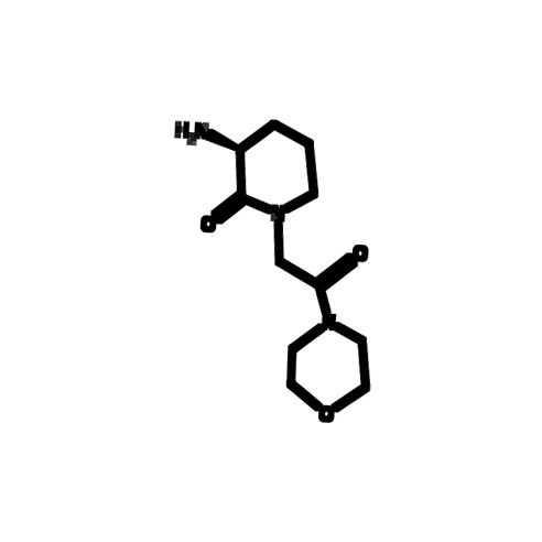 N[C@H]1CCCN(CC(=O)N2CCOCC2)C1=O